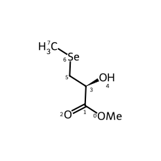 COC(=O)[C@H](O)C[Se]C